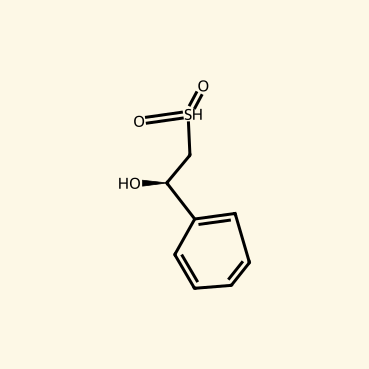 O=[SH](=O)C[C@H](O)c1ccccc1